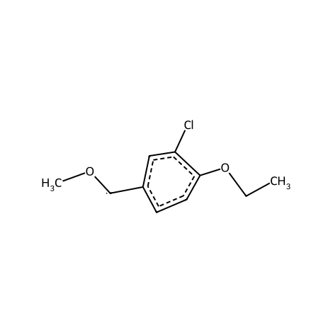 CCOc1ccc([CH]OC)cc1Cl